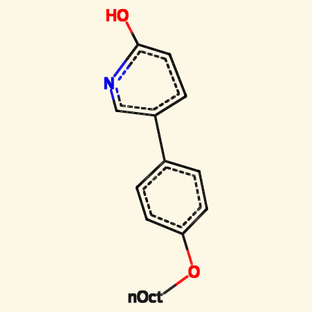 CCCCCCCCOc1ccc(-c2ccc(O)nc2)cc1